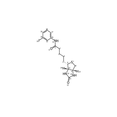 O=C(CCCC[C@@H]1SC[C@@H]2NC(=O)N[C@@H]21)Nc1cccc(I)c1